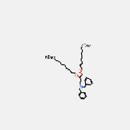 CCCCCCCCCCCCCCCCCCOCC(CCN(Cc1ccccc1)Cc1ccccc1)OCCCCCCCCCCCCCCCCCC